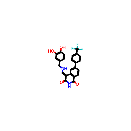 O=C1NC(=O)c2ccc(-c3ccc(C(F)(F)F)cc3)cc2/C1=C\NCc1ccc(O)c(O)c1